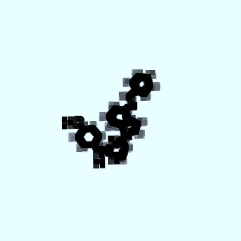 OC1CCC(Nc2nccc(-n3ccc4c(SCc5ccccc5)cccc43)n2)CC1